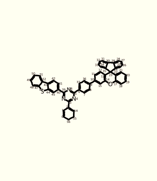 C1=CC(c2nc(-c3ccc(-c4ccc5c(c4)Oc4ccccc4C54c5ccccc5-c5ccccc54)cc3)nc(-c3ccc4c(c3)sc3ccccc34)n2)=CCC1